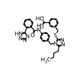 CCCCc1nnc(SCc2cccc(C(=O)O)c2)n1Cc1ccc(NC(=O)c2ccccc2-c2nnn[nH]2)cc1